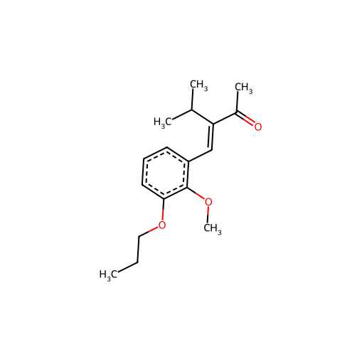 CCCOc1cccc(/C=C(/C(C)=O)C(C)C)c1OC